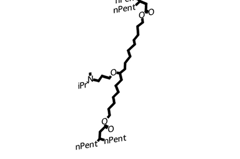 CCCCCC(CCCCC)CC(=O)OCCCCCCCCCC(CCCCCCCOC(=O)CC(CCCCC)CCCCC)OCCCN(C)C(C)C